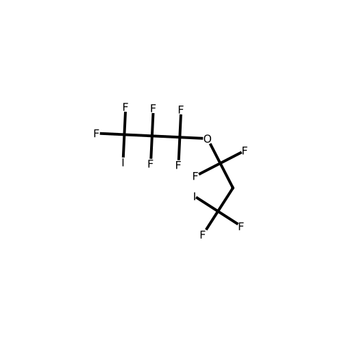 FC(F)(I)CC(F)(F)OC(F)(F)C(F)(F)C(F)(F)I